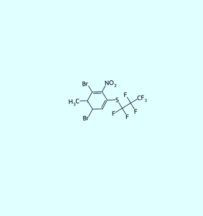 C[C]1C(Br)=C([N+](=O)[O-])C(SC(F)(F)C(F)(F)C(F)(F)F)=CC1Br